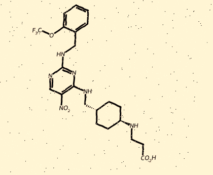 O=C(O)CCN[C@H]1CC[C@H](CNc2nc(NCc3ccccc3OC(F)(F)F)ncc2[N+](=O)[O-])CC1